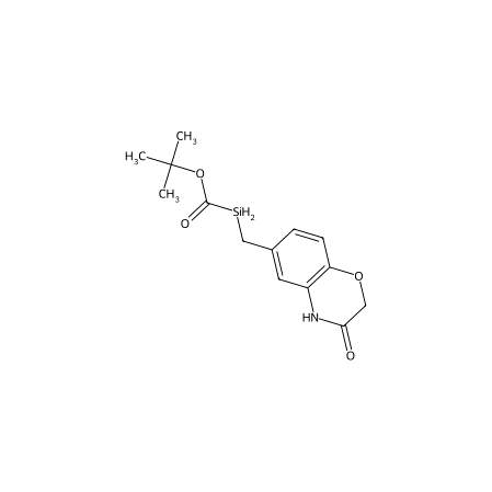 CC(C)(C)OC(=O)[SiH2]Cc1ccc2c(c1)NC(=O)CO2